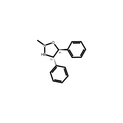 CN1B[C@@H](c2ccccc2)[C@H](c2ccccc2)O1